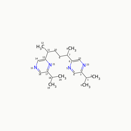 CC(C)c1cnc(C(C)CCC(C)c2cncc(C(C)C)n2)cn1